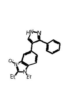 CCc1n(CC)c2ccc(-c3c[nH]nc3-c3ccccc3)cc2[n+]1[O-]